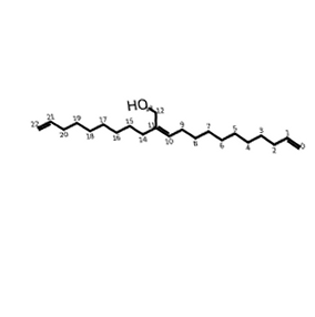 C=CCCCCCCCC/C=C(\CO)CCCCCCCC=C